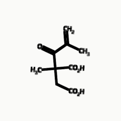 C=C(C)C(=O)C(C)(CC(=O)O)C(=O)O